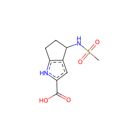 CS(=O)(=O)NC1CCc2[nH]c(C(=O)O)cc21